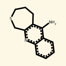 Nc1c2c(nc3ccccc13)CSCCC2